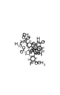 CCOC(=O)[C@H]1CCN(C(=O)[C@H](Nc2ccc3c(c2)C(=O)NC3=O)c2ccc(F)c(OC)c2)[C@H]1c1cc(NC(=O)OC)ccc1S(=O)(=O)C(C)C